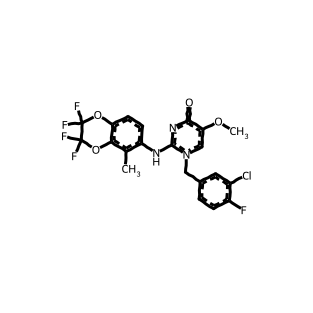 COc1cn(Cc2ccc(F)c(Cl)c2)c(Nc2ccc3c(c2C)OC(F)(F)C(F)(F)O3)nc1=O